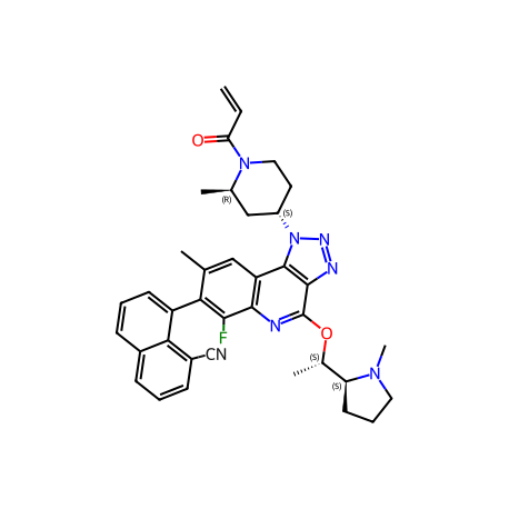 C=CC(=O)N1CC[C@H](n2nnc3c(O[C@@H](C)[C@@H]4CCCN4C)nc4c(F)c(-c5cccc6cccc(C#N)c56)c(C)cc4c32)C[C@H]1C